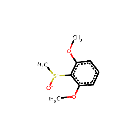 COc1cccc(OC)c1[S+](C)[O-]